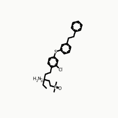 CC[C@@](N)(CCc1ccc(Sc2cccc(CCc3ccccc3)c2)cc1Cl)CCP(C)(C)=O